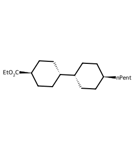 CCCCC[C@H]1CC[C@H]([C@H]2CC[C@H](C(=O)OCC)CC2)CC1